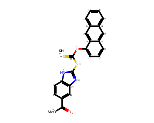 COC(=O)c1ccc2[nH]c(SC(=S)Oc3cccc4cc5ccccc5cc34)nc2c1.[KH]